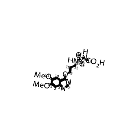 COc1cc2ncnc(OCCCNS(=O)(=O)NC(=O)O)c2cc1OC